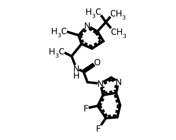 Cc1nc(C(C)(C)C)ccc1C(C)NC(=O)Cn1cnc2ccc(F)c(F)c21